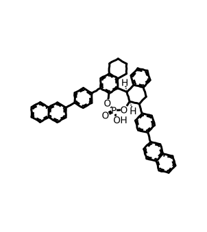 O=P1(O)Oc2c(-c3ccc(-c4ccc5ccccc5c4)cc3)cc3c(c2[C@H]2c4ccccc4CC(c4ccc(-c5ccc6ccccc6c5)cc4)[C@H]2O1)CCCC3